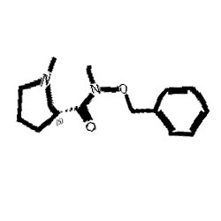 CN(OCc1ccccc1)C(=O)[C@@H]1CCCN1C